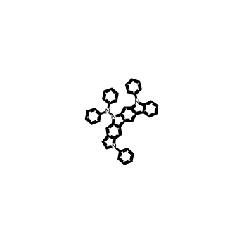 c1ccc(N(c2ccccc2)n2c3cc4ccn(-c5ccccc5)c4cc3c3cc4c5ccccc5n(-c5ccccc5)c4cc32)cc1